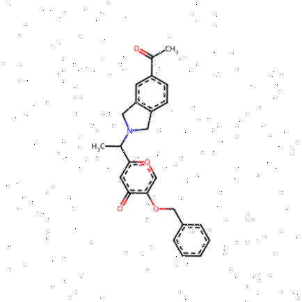 CC(=O)c1ccc2c(c1)CN(C(C)c1cc(=O)c(OCc3ccccc3)co1)C2